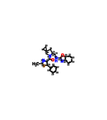 Cc1nc(C(=O)N2CC3(CC3)C[C@H]2CNc2nc3ccccc3o2)c(-c2ccccc2)s1